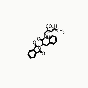 C=CC[C@@H](CNC(=O)C(Cc1ccccc1)N1C(=O)c2ccccc2C1=O)C(=O)O